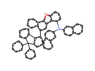 c1ccc(C2(c3ccccc3)c3ccccc3-c3c(-c4cc5c(oc6cccc(N(c7ccc8ccccc8c7)c7ccc8ccccc8c7)c65)c5ccccc45)cccc32)cc1